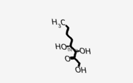 CCCC[C@H](O)[C@@H](O)C(=O)CO